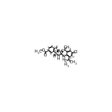 COC(=O)c1ccc(F)c(S(=O)(=O)NC(=O)Nc2c(C(C)C)cc(Cl)cc2C(C)C)c1